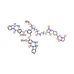 COc1cc2c(cc1OCc1cc(COc3cc4c(cc3OC)C(=O)N3c5ccccc5C[C@H]3CN4)cc(N(C(C)(C)COC(C)(C)C)C(C)(C)CC(C)(C)C(=O)N(C)CC(C)(C)SC3CC(=O)N(CC4CCC(C(=O)ON5C(=O)CCC5=O)CC4)C3=O)c1)N=C[C@@H]1Cc3ccccc3N1C2=O